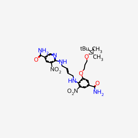 CC(C)(C)[Si](C)(C)OCCCOc1cc(C(N)=O)cc([N+](=O)[O-])c1NCC=CCNc1ncc(C(N)=O)cc1[N+](=O)[O-]